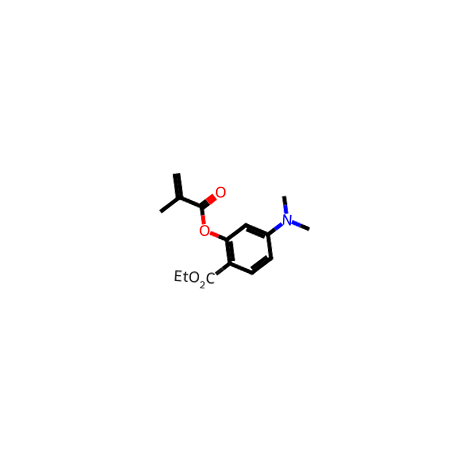 C=C(C)C(=O)Oc1cc(N(C)C)ccc1C(=O)OCC